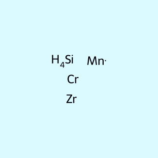 [Cr].[Mn].[SiH4].[Zr]